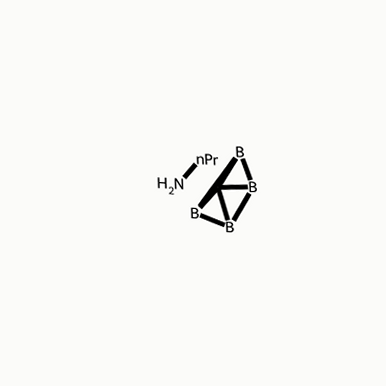 B12B3B4B1C234.[CH2]CCN